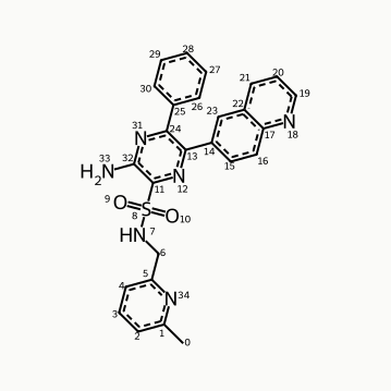 Cc1cccc(CNS(=O)(=O)c2nc(-c3ccc4ncccc4c3)c(-c3ccccc3)nc2N)n1